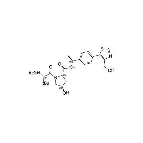 CC(=O)N[C@H](C(=O)N1C[C@H](O)C[C@H]1C(=O)N[C@@H](C)c1ccc(-c2snnc2CO)cc1)C(C)(C)C